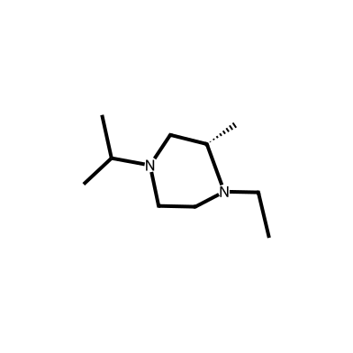 CCN1CCN(C(C)C)C[C@@H]1C